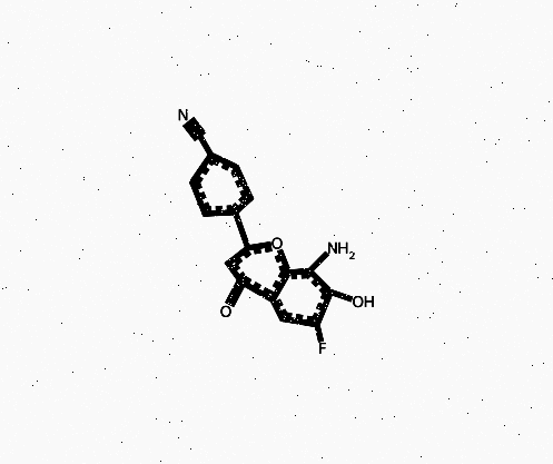 N#Cc1ccc(-c2cc(=O)c3cc(F)c(O)c(N)c3o2)cc1